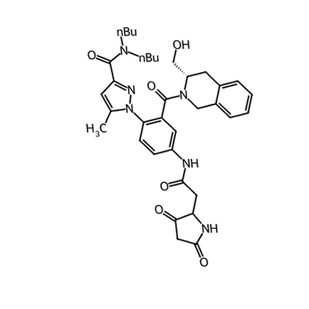 CCCCN(CCCC)C(=O)c1cc(C)n(-c2ccc(NC(=O)CC3NC(=O)CC3=O)cc2C(=O)N2Cc3ccccc3C[C@H]2CO)n1